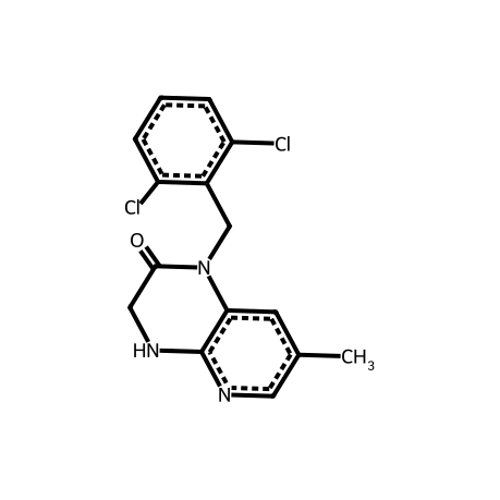 Cc1cnc2c(c1)N(Cc1c(Cl)cccc1Cl)C(=O)CN2